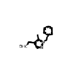 Cc1c(CC=O)cnn1Cc1ccccc1